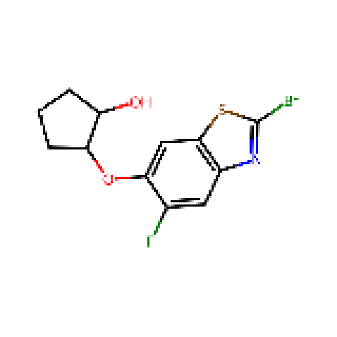 OC1CCCC1Oc1cc2sc(Br)nc2cc1F